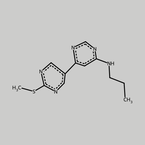 CCCNc1cc(-c2cnc(SC)nc2)ncn1